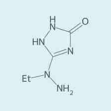 CCN(N)c1nc(=O)[nH][nH]1